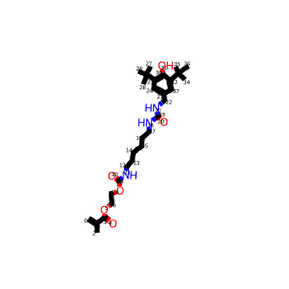 C=C(C)C(=O)OCCOC(=O)NCCCCCCNC(=O)NCc1cc(C(C)(C)C)c(O)c(C(C)(C)C)c1